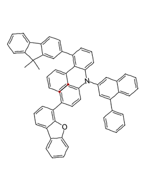 CC1(C)c2ccccc2-c2ccc(-c3cccc(N(c4ccc(-c5cccc6c5oc5ccccc56)cc4)c4cc(-c5ccccc5)c5ccccc5c4)c3-c3ccccc3)cc21